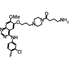 COc1cc2ncnc(Nc3ccc(F)c(Cl)c3)c2cc1OCCCN1CCN(C(=O)CCCN)CC1